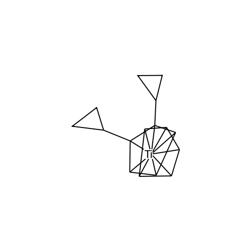 C1CC1[C]12[CH]3[CH]4[CH]5[C]1(C1CC1)[Ti]43521678[CH]2[CH]1[CH]6[CH]7[CH]28